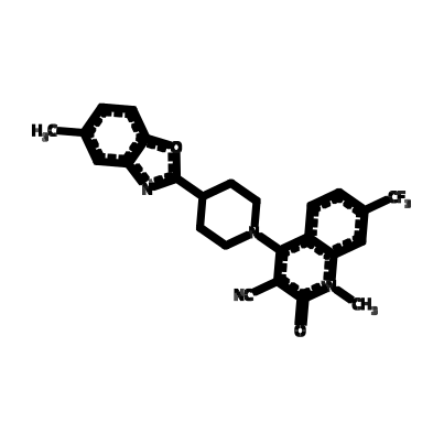 Cc1ccc2oc(C3CCN(c4c(C#N)c(=O)n(C)c5cc(C(F)(F)F)ccc45)CC3)nc2c1